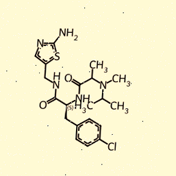 CC(C)N(C)C(C)C(=O)N[C@@H](Cc1ccc(Cl)cc1)C(=O)NCc1cnc(N)s1